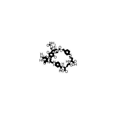 COC1=C(C)C(=O)C2=C(C1=O)[C@@H](COC(N)=O)[C@@]1(OC)[C@H](C)N(C(=O)OCc3ccc(SSCC(NC(=O)CC[C@H](NC(=O)c4ccc(NCc5cnc6cc(N)[nH]c(=O)c6n5)cc4)C(=O)O)C(=O)O)cc3)CN21